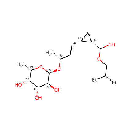 CCC(CC)COC(O)[C@H]1C[C@H]1CC[C@@H](C)O[C@@H]1O[C@@H](C)[C@@H](O)[C@@H](O)[C@@H]1O